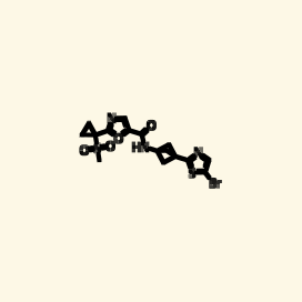 CS(=O)(=O)C1(c2ncc(C(=O)NC34CC(c5ncc(Br)s5)(C3)C4)o2)CC1